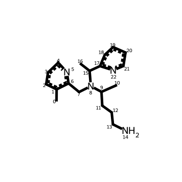 Cc1cccnc1CN(C(C)CCCN)C(C)c1ccccn1